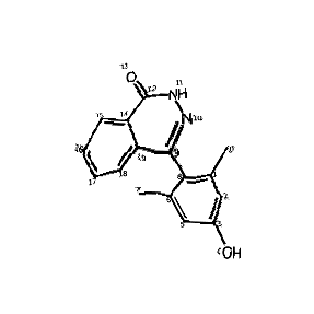 Cc1cc(O)cc(C)c1-c1n[nH]c(=O)c2ccccc12